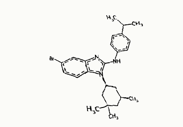 CC(C)c1ccc(Nc2nc3cc(Br)ccc3n2[C@H]2C[C@@H](C)CC(C)(C)C2)cc1